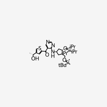 CC(C)[Si](O[C@H]1C[C@H](Nc2ncncc2C(=O)c2cc([C@@H](C)O)cs2)C[C@@H]1CO[Si](C)(C)C(C)(C)C)(C(C)C)C(C)C